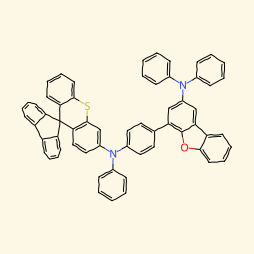 c1ccc(N(c2ccc(-c3cc(N(c4ccccc4)c4ccccc4)cc4c3oc3ccccc34)cc2)c2ccc3c(c2)Sc2ccccc2C32c3ccccc3-c3ccccc32)cc1